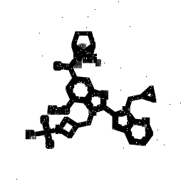 COc1cc(C(=O)N2CC3CCC2[C@@H]3N)cc2nc(-c3cc4cccnc4n3CC3CC3)n(CC3CN(S(=O)(=O)C(C)C)C3)c12